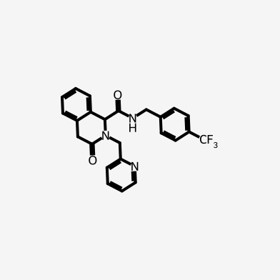 O=C(NCc1ccc(C(F)(F)F)cc1)C1c2ccccc2CC(=O)N1Cc1ccccn1